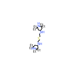 CCC1(CC)CC(NCCSCCNC2CC(CC)(CC)NC(CC)(CC)C2)CC(CC)(CC)N1